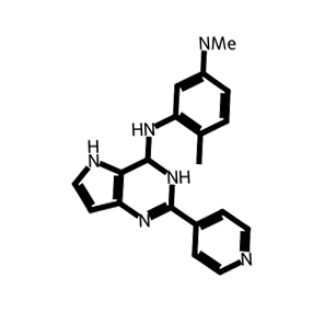 CNc1ccc(C)c(NC2NC(c3ccncc3)=Nc3cc[nH]c32)c1